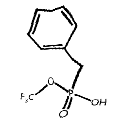 O=P(O)(Cc1ccccc1)OC(F)(F)F